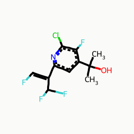 CC(C)(O)c1cc(C(=CF)C(F)F)nc(Cl)c1F